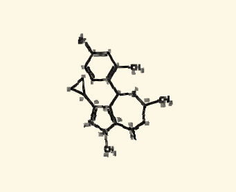 Cc1cc(Br)ccc1C1SC(C)CNc2c1c(C1CC1)nn2C